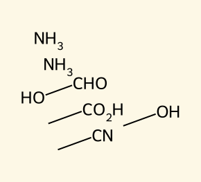 CC#N.CC(=O)O.CO.N.N.O=CO